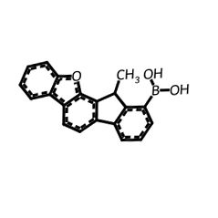 CC1c2c(B(O)O)cccc2-c2ccc3c(oc4ccccc43)c21